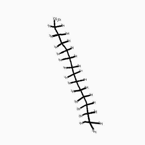 [2H]C([2H])([2H])C([2H])([2H])C([2H])([2H])C([2H])([2H])C([2H])([2H])C([2H])([2H])C([2H])([2H])C([2H])([2H])C([2H])([2H])C([2H])([2H])C([2H])([2H])C([2H])([2H])C([2H])([2H])C(=O)OCC